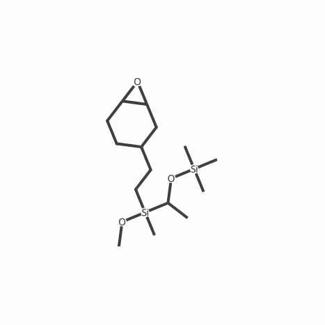 CO[Si](C)(CCC1CCC2OC2C1)C(C)O[Si](C)(C)C